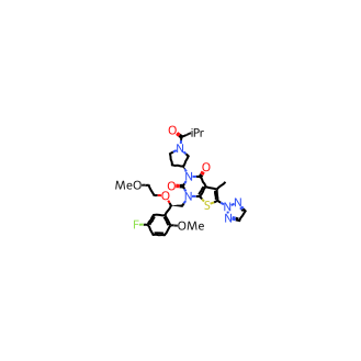 COCCO[C@@H](Cn1c(=O)n([C@H]2CCN(C(=O)C(C)C)C2)c(=O)c2c(C)c(-n3nccn3)sc21)c1cc(F)ccc1OC